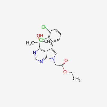 CCOC(=O)Cn1cc(-c2cccc(Cl)c2Cl)c2c(C(C)(C)O)ncnc21